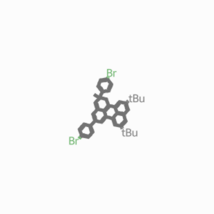 CC(C)(C)c1cc2cc(C(C)(C)C)cc3c4cc(-c5ccc(Br)cc5)cc5c4c(c(c1)c23)CC(C)(c1ccc(Br)cc1)C=5